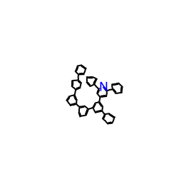 c1ccc(-c2ccc(-c3cccc(-c4cccc(-c5cc(-c6ccccc6)cc(-c6cc(-c7ccccc7)nc(-c7ccccc7)c6)c5)c4)c3)cc2)cc1